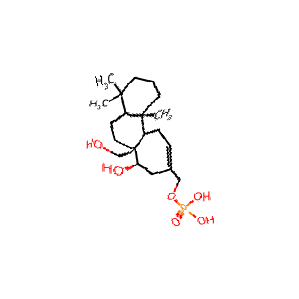 CC1(C)CCC[C@@]2(C)C1CC[C@]1(CO)C2CC=C(COP(=O)(O)O)C[C@H]1O